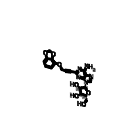 Nc1nc(C#CCOc2cccc3c2OCO3)nc2c1ncn2[C@@H]1O[C@H](CO)[C@@H](O)[C@H]1O